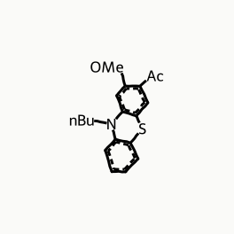 CCCCN1c2ccccc2Sc2cc(C(C)=O)c(OC)cc21